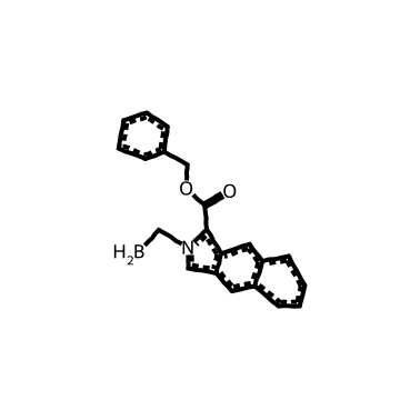 BCn1cc2cc3ccccc3cc2c1C(=O)OCc1ccccc1